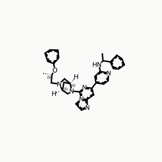 CC(Nc1cc(-c2cc3nccn3c(N3C[C@@H]4C[C@H]3CN4C[C@H](C)Oc3ccccc3)n2)ccn1)c1ccccc1